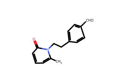 Cc1cccc(=O)n1CCc1ccc(C=O)cc1